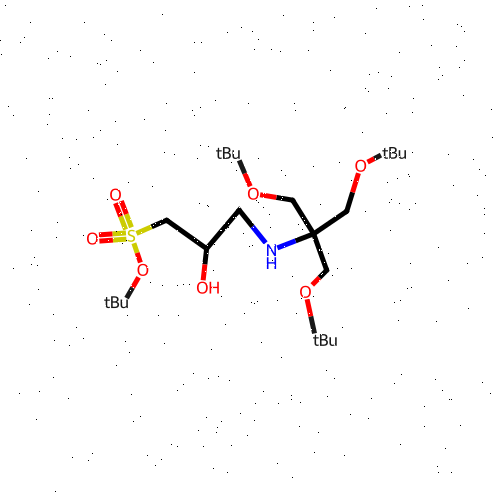 CC(C)(C)OCC(COC(C)(C)C)(COC(C)(C)C)NCC(O)CS(=O)(=O)OC(C)(C)C